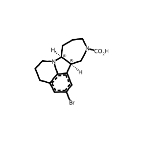 O=C(O)N1CCC[C@H]2[C@@H](C1)c1cc(Br)cc3c1N2CCC3